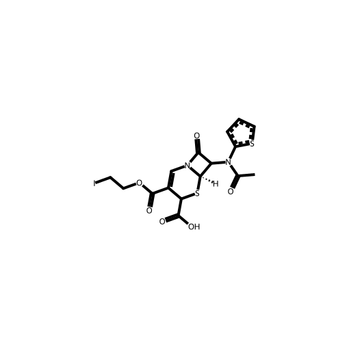 CC(=O)N(c1cccs1)C1C(=O)N2C=C(C(=O)OCCI)C(C(=O)O)S[C@H]12